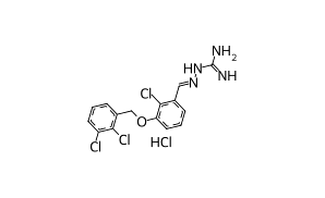 Cl.N=C(N)N/N=C/c1cccc(OCc2cccc(Cl)c2Cl)c1Cl